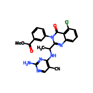 COC(=O)c1cccc(-n2c(C(C)Nc3nc(N)ncc3C#N)nc3cccc(Cl)c3c2=O)c1